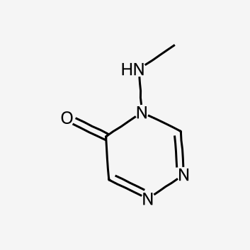 CNn1cnncc1=O